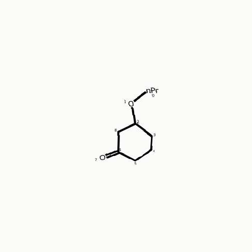 CCCOC1CCCC(=O)C1